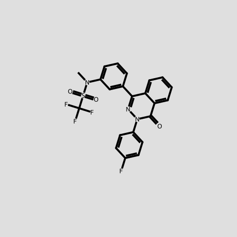 CN(c1cccc(-c2nn(-c3ccc(F)cc3)c(=O)c3ccccc23)c1)S(=O)(=O)C(F)(F)F